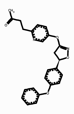 CC(=O)CCc1ccc(OC2=NO[C@@H](c3ccc(Oc4ccccc4)cc3)C2)cn1